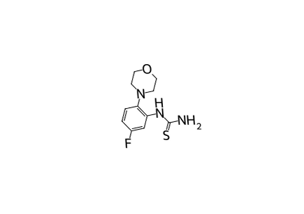 NC(=S)Nc1cc(F)ccc1N1CCOCC1